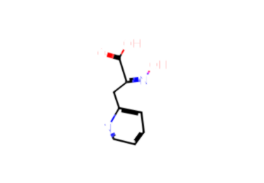 O=C(O)C(Cc1ccccn1)=NO